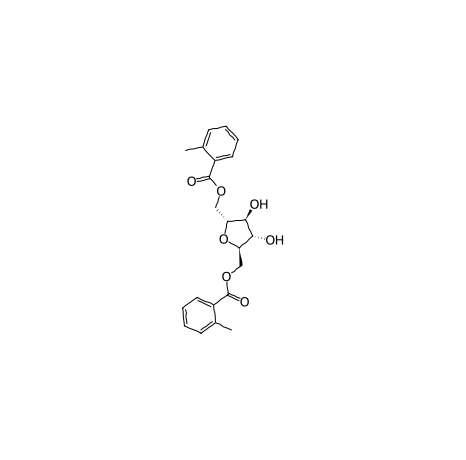 Cc1ccccc1C(=O)OC[C@H]1O[C@H](COC(=O)c2ccccc2C)[C@@H](O)[C@@H]1O